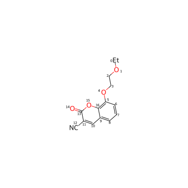 CCOCCOc1cccc2cc(C#N)c(=O)oc12